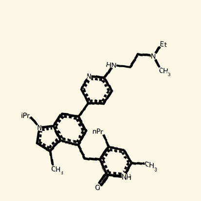 CCCc1cc(C)[nH]c(=O)c1Cc1cc(-c2ccc(NCCN(C)CC)nc2)cc2c1c(C)cn2C(C)C